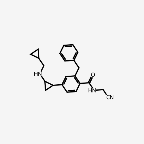 N#CCNC(=O)c1ccc(C2CC2NCC2CC2)cc1Cc1ccccc1